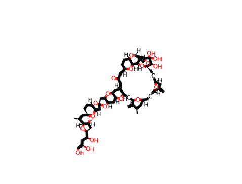 C=C1C[C@@H]2CC[C@]34OC([C@@H]5O[C@H]6CC[C@H](CC(=O)C[C@@H]7CC8OC9C[C@]%10(C[C@@H]%11O[C@@]%12(CC[C@@H]%11O%10)C[C@H](C)[C@@H]%10O[C@H]([C@@H](O)C[C@@H](O)CO)C[C@@H]%10O%12)O[C@@H]9C[C@@H]8O[C@H]7C[C@H]7O[C@@H](CC[C@@H]1O2)C[C@@H](C)C7=C)O[C@@H]6[C@H](O3)[C@@H]5C)C(O)(O)[C@H]4O